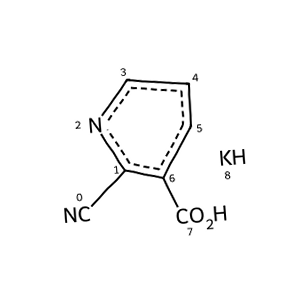 N#Cc1ncccc1C(=O)O.[KH]